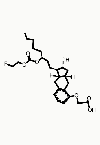 CCCCC[C@@H](CC[C@@H]1[C@H]2Cc3cccc(OCC(=O)O)c3C[C@H]2C[C@H]1O)OC(=O)OCCF